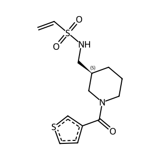 C=CS(=O)(=O)NC[C@H]1CCCN(C(=O)c2ccsc2)C1